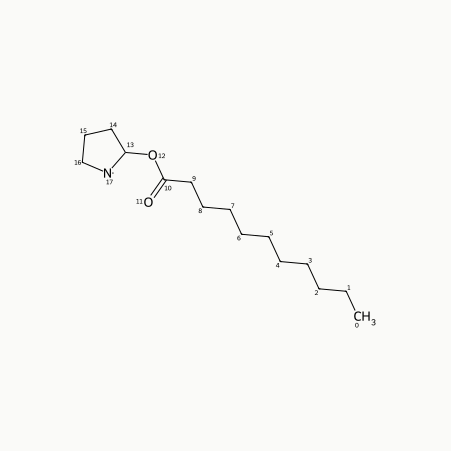 CCCCCCCCCCC(=O)OC1CCC[N]1